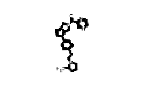 CC1CCCN1CCc1ccc(C2CC=C3CN(C(=O)c4cnccn4)CC32)cc1